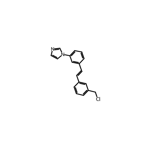 ClCc1cccc(/C=C/c2cccc(-n3ccnc3)c2)c1